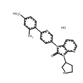 Cc1cc(C(=O)O)ccc1-c1ccc(-n2c(=O)n(C3CCNC3)c3ncccc32)cn1.Cl